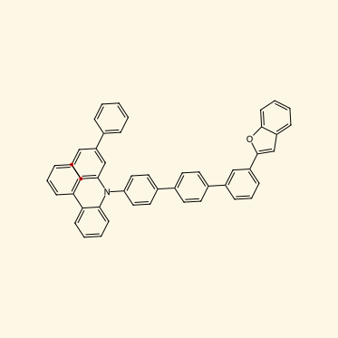 c1ccc(-c2cccc(N(c3ccc(-c4ccc(-c5cccc(-c6cc7ccccc7o6)c5)cc4)cc3)c3ccccc3-c3ccccc3)c2)cc1